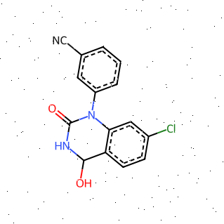 N#Cc1cccc(N2C(=O)NC(O)c3ccc(Cl)cc32)c1